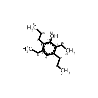 CCCc1cc(CC)c(CCC)c(O)c1CC